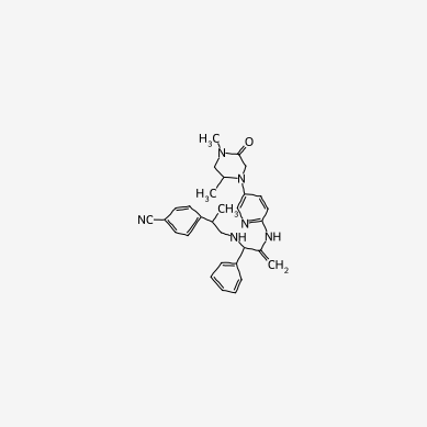 C=C(Nc1ccc(N2CC(=O)N(C)CC2C)cn1)C(NCC(C)c1ccc(C#N)cc1)c1ccccc1